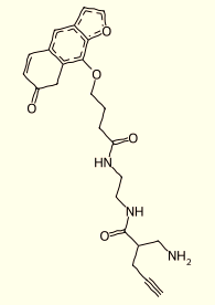 C#CCC(CN)C(=O)NCCNC(=O)CCCOc1c2c(cc3ccoc13)C=CC(=O)C2